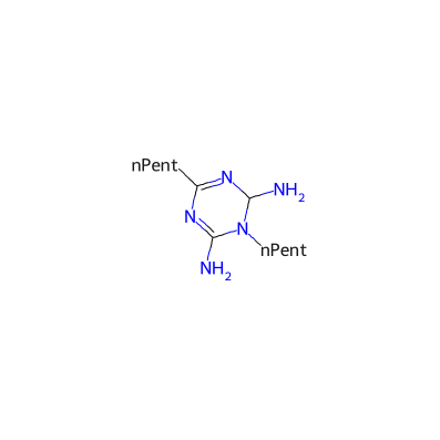 CCCCCC1=NC(N)N(CCCCC)C(N)=N1